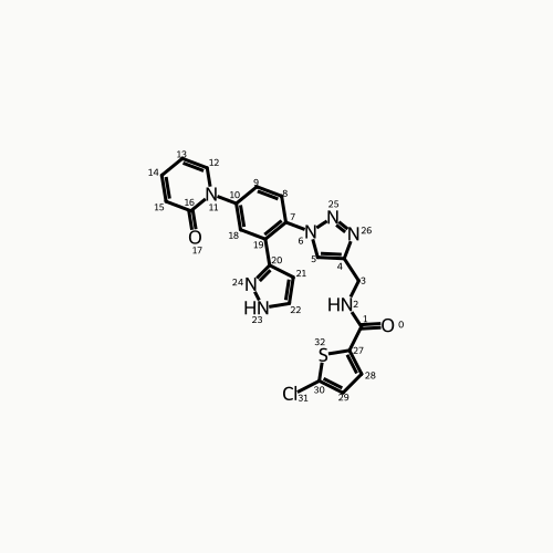 O=C(NCc1cn(-c2ccc(-n3ccccc3=O)cc2-c2cc[nH]n2)nn1)c1ccc(Cl)s1